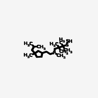 CC(C)CC1(C)CCC(CCP(C)CC(C)(C)C(C)(C)SS)C1